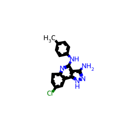 Cc1ccc(Nc2nc3ccc(Cl)cc3c3[nH]nc(N)c23)cc1